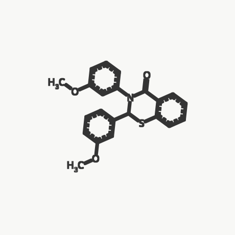 COc1cccc(C2Sc3ccccc3C(=O)N2c2cccc(OC)c2)c1